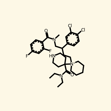 CCN(CC)C(=O)C1([N+]2(CCC(CN(C)C(=O)c3ccc(F)cc3F)c3ccc(Cl)c(Cl)c3)CCCCC2)CCNCC1